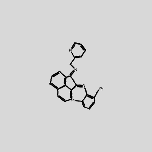 CC(C)c1cccc(C(C)C)c1/N=C1/C(=N/Cc2ccccn2)c2cccc3cccc1c23